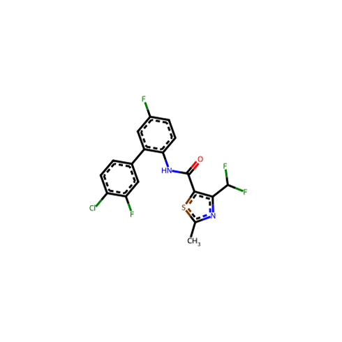 Cc1nc(C(F)F)c(C(=O)Nc2ccc(F)cc2-c2ccc(Cl)c(F)c2)s1